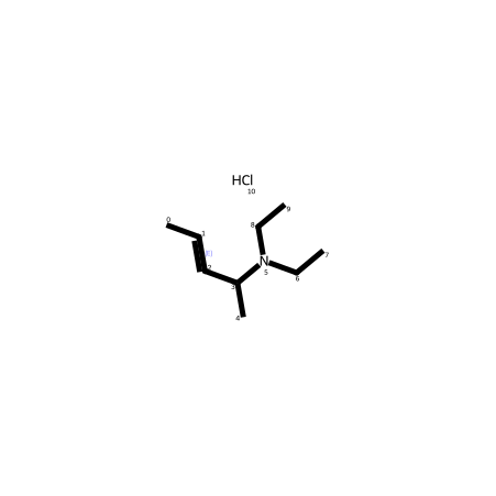 C/C=C/C(C)N(CC)CC.Cl